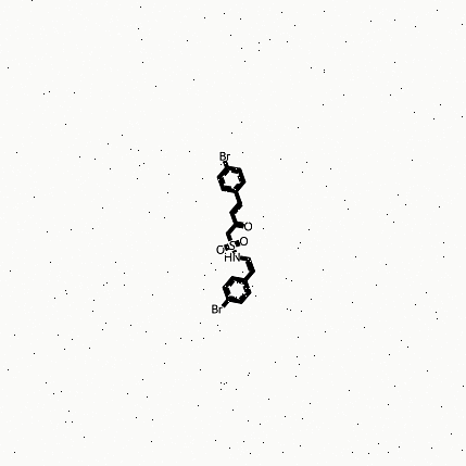 O=C(/C=C/c1ccc(Br)cc1)CS(=O)(=O)N/C=C\c1ccc(Br)cc1